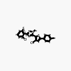 Cc1ccc(-c2cc(Cl)c(-c3nc(-c4c(F)cccc4Cl)nn3C)s2)cc1